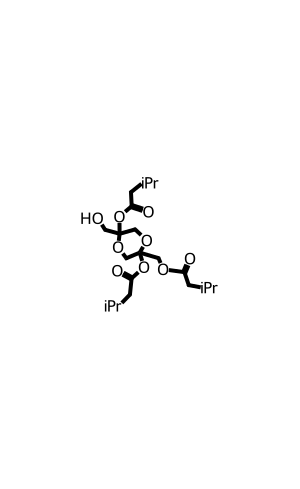 CC(C)CC(=O)OCC1(OC(=O)CC(C)C)COC(CO)(OC(=O)CC(C)C)CO1